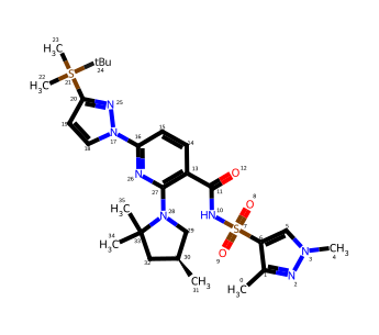 Cc1nn(C)cc1S(=O)(=O)NC(=O)c1ccc(-n2ccc(S(C)(C)C(C)(C)C)n2)nc1N1C[C@@H](C)CC1(C)C